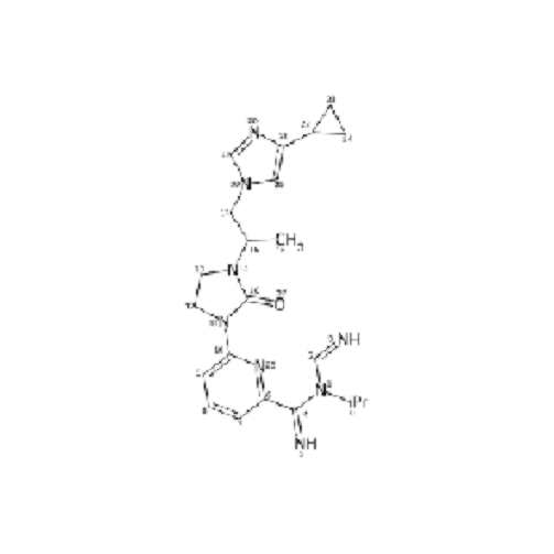 CC(C)N(C=N)C(=N)c1cccc(N2CCN(C(C)Cn3cnc(C4CC4)c3)C2=O)n1